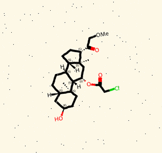 COCC(=O)[C@H]1CC[C@H]2[C@@H]3CC[C@H]4C[C@H](O)CC[C@]4(C)[C@H]3[C@@H](OC(=O)CCl)C[C@]12C